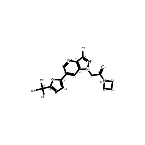 O=C(Cn1nc(F)c2ncc(-c3ccc(C(F)(F)F)s3)cc21)N1CCC1